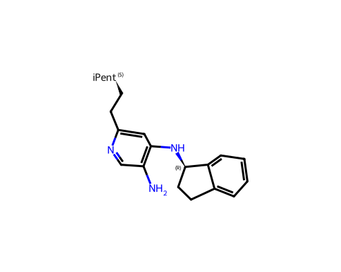 CCC[C@H](C)CCc1cc(N[C@@H]2CCc3ccccc32)c(N)cn1